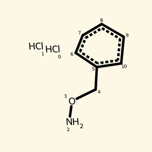 Cl.Cl.NOCc1ccccc1